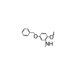 CNc1cc(OCc2ccccc2)ccc1OI